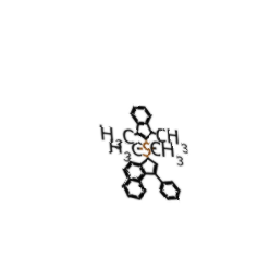 CC1=C(S(C)(C)C2C=C(c3ccccc3)c3c2ccc2ccccc32)C(C)c2ccccc21